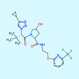 CC(C)(C)[C@@H](C(=O)N1CC(O)CC1C(=O)NCCOc1cccc(C(F)(F)F)n1)n1cc(C2CC2)nn1